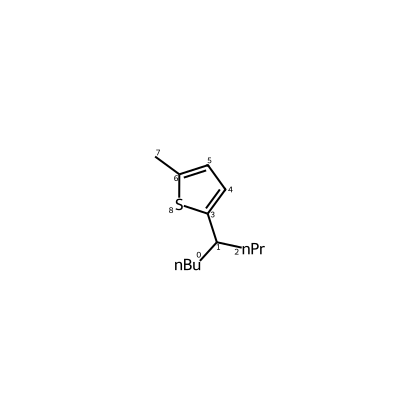 CCCCC(CCC)c1ccc(C)s1